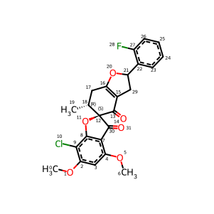 COc1cc(OC)c2c(c1Cl)O[C@@]1(C(=O)C3=C(C[C@H]1C)OC(c1ccccc1F)C3)C2=O